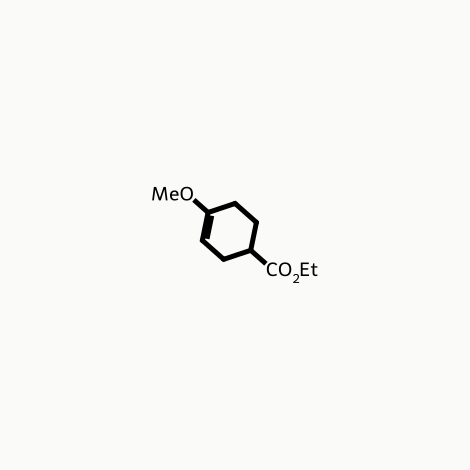 CCOC(=O)C1CC=C(OC)CC1